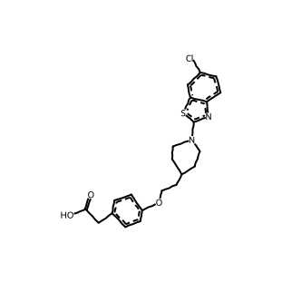 O=C(O)Cc1ccc(OCCC2CCN(c3nc4ccc(Cl)cc4s3)CC2)cc1